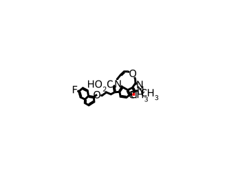 Cc1c2c(nn1C)COC/C=C\Cn1c(C(=O)O)c(CCCOc3cccc4cc(F)ccc34)c3ccc(Cl)c-2c31